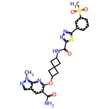 Cn1ncc2cc(C(N)=O)c(OC3CC4(CC(NC(=O)c5nnc(-c6cccc(S(C)(=O)=O)c6)s5)C4)C3)nc21